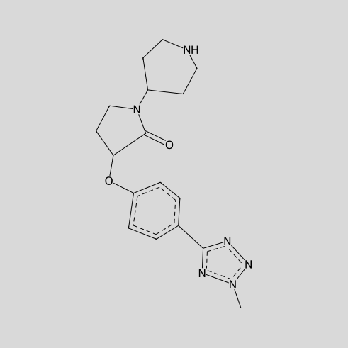 Cn1nnc(-c2ccc(OC3CCN(C4CCNCC4)C3=O)cc2)n1